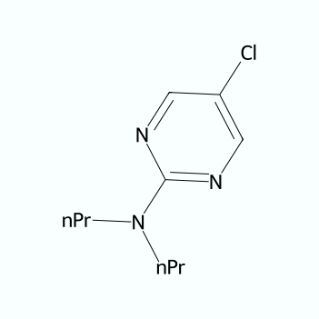 CCCN(CCC)c1ncc(Cl)cn1